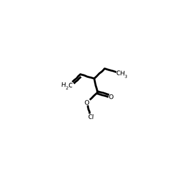 C=CC(CC)C(=O)OCl